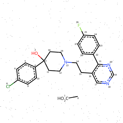 CC(=O)O.OC1(c2ccc(Cl)cc2)CCN(CCc2cncnc2-c2ccc(F)cc2)CC1